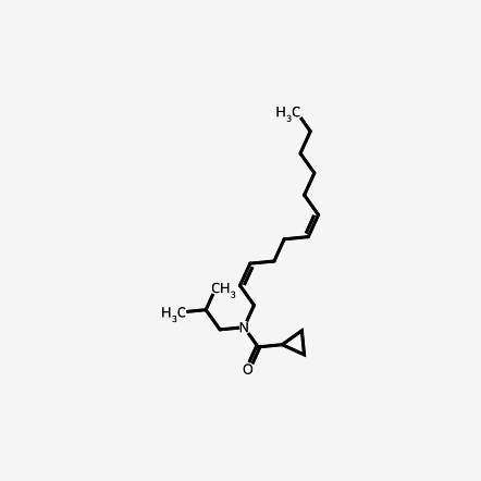 CCCCC/C=C\CC/C=C\CN(CC(C)C)C(=O)C1CC1